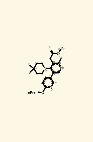 CCCCCOc1ccc(-c2cnc(C)c(CC(=O)OC(C)C)c2N2CCC(C)(C)CC2)cn1